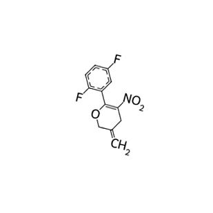 C=C1COC(c2cc(F)ccc2F)=C([N+](=O)[O-])C1